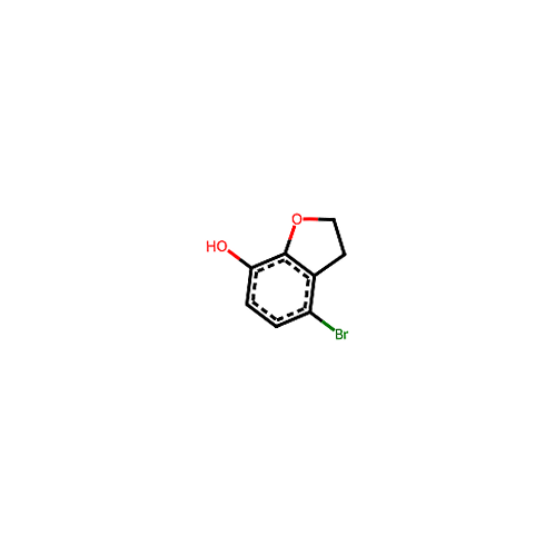 Oc1ccc(Br)c2c1OCC2